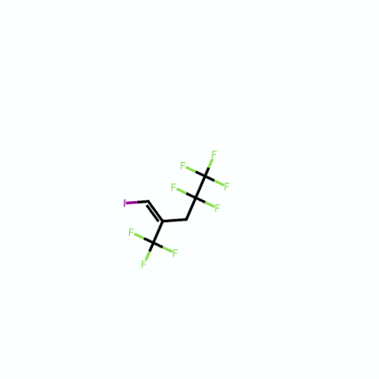 FC(F)(F)C(=CI)CC(F)(F)C(F)(F)F